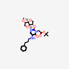 CO[C@@H]1CO[C@H]2[C@@H]1OC[C@H]2Oc1ncc(NCCCc2ccccc2)c(=O)n1CC(=O)OC(C)(C)C